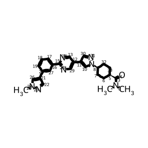 CN(C)C(=O)[C@H]1CC[C@@H](n2cc(-c3cnc(-c4cccc(-c5cnn(C)c5)c4)nc3)cn2)CC1